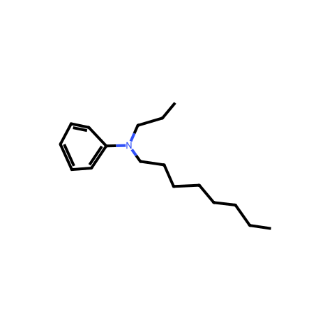 CCCCCCCCN(CCC)c1ccccc1